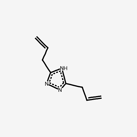 C=CCc1nnc(CC=C)[nH]1